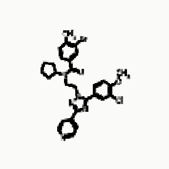 COc1ccc(-c2nc(-c3ccncc3)nn2CCN(C(=O)c2ccc(C)c(Br)c2)C2CCCC2)cc1Cl